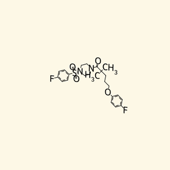 CC(C)(CCCOc1ccc(F)cc1)C(=O)N1CCN(S(=O)(=O)c2ccc(F)cc2)CC1